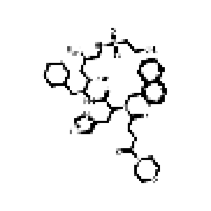 CCCS(=O)(=O)NC[C@H](C)C[C@H](O)[C@H](CC1CCCCC1)NC(=O)C(Cc1c[nH]cn1)N(Cc1cccc2ccccc12)C(=O)CCC(=O)N1CCOCC1